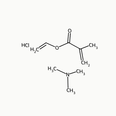 C=COC(=O)C(=C)C.CN(C)C.Cl